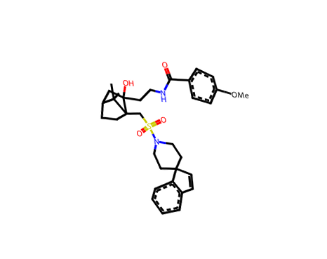 COc1ccc(C(=O)NCCC2(O)CC3CCC2(CS(=O)(=O)N2CCC4(C=Cc5ccccc54)CC2)C3(C)C)cc1